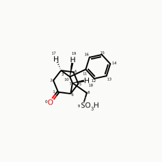 O=C1C[C@H]2CCC1[C@@H](CS(=O)(=O)O)[C@H]2c1ccccc1